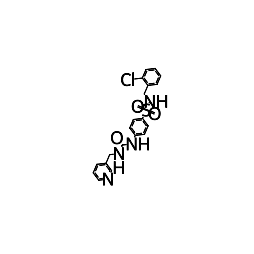 O=C(NCc1cccnc1)Nc1ccc(S(=O)(=O)NCc2ccccc2Cl)cc1